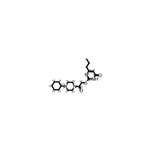 CCCc1cc(=O)[nH]c(SCC(=O)N2CCN(C3CCCCC3)CC2)n1